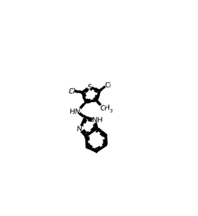 Cc1c(Cl)sc(Cl)c1Nc1nc2ccccc2[nH]1